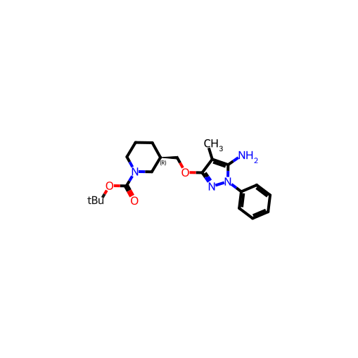 Cc1c(OC[C@@H]2CCCN(C(=O)OC(C)(C)C)C2)nn(-c2ccccc2)c1N